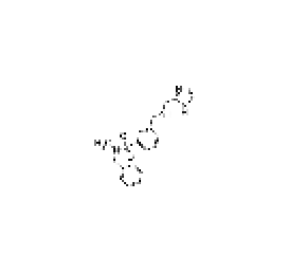 CN(Cc1ccccc1)S(=O)(=O)c1cccc(CNCc2ncc[nH]2)c1